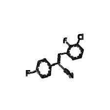 N#C/C(=C\c1cccc(Cl)c1F)c1ccc(F)cc1